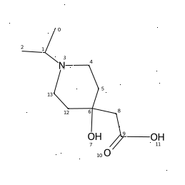 CC(C)N1CCC(O)(CC(=O)O)CC1